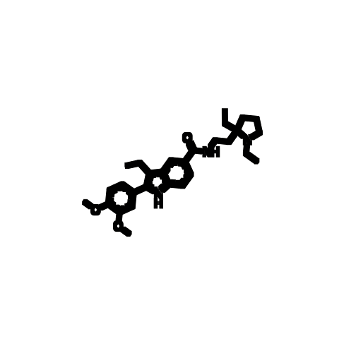 CCc1c(-c2ccc(OC)c(OC)c2)[nH]c2ccc(C(=O)NCCC3(CC)CCCN3CC)cc12